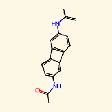 C=C(C)Nc1ccc2c(c1)-c1ccc(NC(C)=O)cc1-2